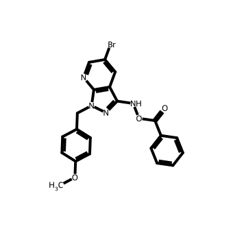 COc1ccc(Cn2nc(NOC(=O)c3ccccc3)c3cc(Br)cnc32)cc1